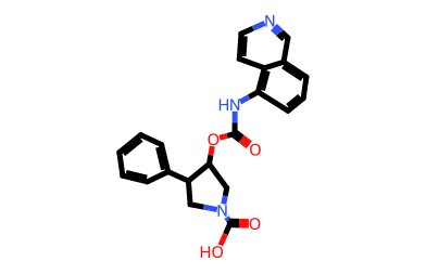 O=C(Nc1cccc2cnccc12)OC1CN(C(=O)O)CC1c1ccccc1